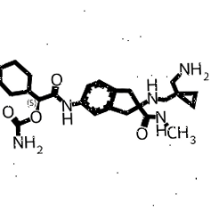 CNC(=O)C1(NCC2(CN)CC2)Cc2ccc(NC(=O)[C@@H](OC(N)=O)C3CCCCC3)cc2C1